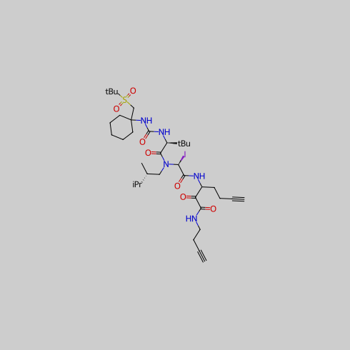 C#CCCNC(=O)C(=O)C(CCC#C)NC(=O)[C@H](I)N(C[C@@H](C)C(C)C)C(=O)[C@@H](NC(=O)NC1(CS(=O)(=O)C(C)(C)C)CCCCC1)C(C)(C)C